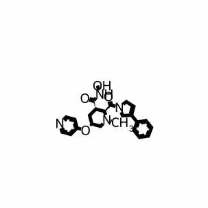 CN1C[C@@H](Oc2ccncc2)C[C@H](C(=O)NO)[C@H]1C(=O)N1CC=C(c2ccccc2)C1